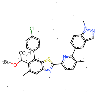 Cc1ccc(-c2nc3cc(C)c(C(OC(C)(C)C)C(=O)O)c(-c4ccc(Cl)cc4)c3s2)nc1-c1ccc2c(cnn2C)c1